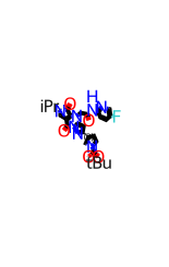 CC(C)N1Cc2c(n(CC(=O)Nc3ccc(F)cn3)c3cc([C@@H]4CCN(C(=O)OC(C)(C)C)C4)nn3c2=O)C1=O